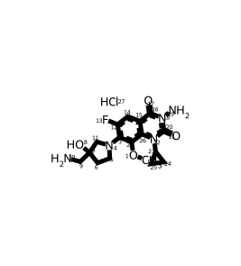 COc1c(N2CCC(O)(CN)C2)c(F)cc2c(=O)n(N)c(=O)n(C3CC3)c12.Cl